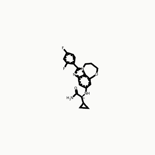 NC(=O)[C@@H](Nc1cc2c3c(c1)nc(-c1ccc(F)cc1F)n3CCCO2)C1CC1